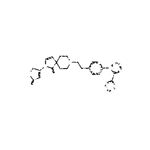 O=C1C=C(N2C=CC3(CCN(C[C@@H](O)c4ccc(-n5nnnc5-c5nnn[nH]5)nc4)CC3)C2=O)CO1